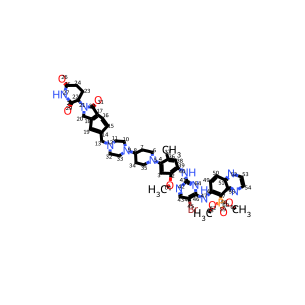 COc1cc(N2CCC(N3CCN(Cc4ccc5c(c4)CN(C4CCC(=O)NC4=O)C5=O)CC3)CC2)c(C)cc1Nc1ncc(Br)c(Nc2ccc3nccnc3c2P(=O)(OC)OC)n1